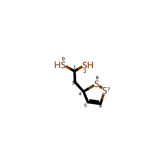 SC(S)CC1C=CSS1